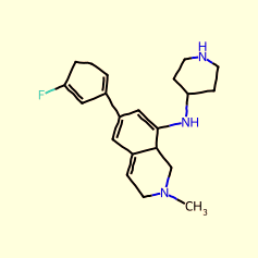 CN1CC=C2C=C(C3=CCCC(F)=C3)C=C(NC3CCNCC3)C2C1